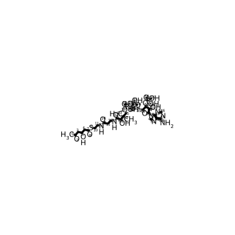 CC(=O)CC(O)CC(=O)SCCNC(=O)CCNC(=O)[C@H](O)C(C)(C)COP(=O)(O)OP(=O)(O)OC[C@H]1O[C@@H](n2cnc3c(N)ncnc32)[C@H](O)[C@@H]1OP(=O)(O)O